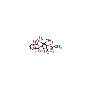 CC(=O)Oc1c(C)c(C)c(N2C(=O)[C@@H]3C4C=CC(O4)[C@@H]3C2=O)c(C)c1C